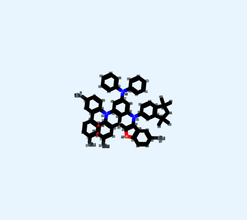 CC(C)(C)c1ccc(-c2cc(C(C)(C)C)ccc2N2c3ccc(C(C)(C)C)cc3B3c4oc5ccc(C(C)(C)C)cc5c4N(c4ccc5c(c4)C(C)(C)CC5(C)C)c4cc(N(c5ccccc5)c5ccccc5)cc2c43)cc1